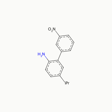 CC(C)c1ccc(N)c(-c2cccc([N+](=O)[O-])c2)c1